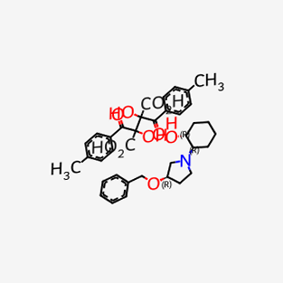 Cc1ccc(C(=O)C(O)(C(=O)O)C(O)(C(=O)O)C(=O)c2ccc(C)cc2)cc1.O[C@@H]1CCCC[C@H]1N1CC[C@@H](OCc2ccccc2)C1